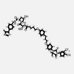 Cc1ncsc1-c1ccc(CNC(=O)[C@@H]2C[C@@H](O)CN2C(=O)[C@@H](NC(=O)CCCCOc2ccc(CCCOc3ccc(N4C(=S)N(c5ccc(C#N)c(C(F)(F)F)c5)C(=O)C4(C)C)cc3)cc2)C(C)(C)C)cc1